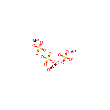 O=C=O.O=S(=O)([O-])[O-].O=S(=O)([O-])[O-].O=S(=O)([O-])[O-].[Al+3].[Al+3]